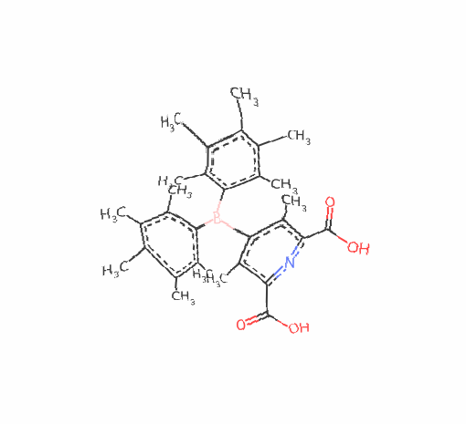 Cc1c(C)c(C)c(B(c2c(C)c(C(=O)O)nc(C(=O)O)c2C)c2c(C)c(C)c(C)c(C)c2C)c(C)c1C